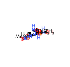 COc1cc(S(=O)(=O)N2CCN(C3CC4(CCN(c5ccc(C(=O)NS(=O)(=O)c6ccc(NCC7CCC(C)(O)CC7)c([N+](=O)[O-])c6)c(N6c7cc8cc[nH]c8nc7O[C@H]7COCC[C@@H]76)c5)CC4)C3)[C@H](c3ccccc3C)C2)cnc1N1CCOCC1